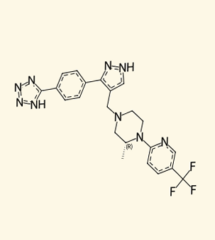 C[C@@H]1CN(Cc2c[nH]nc2-c2ccc(-c3nnn[nH]3)cc2)CCN1c1ccc(C(F)(F)F)cn1